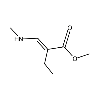 CC/C(=C\NC)C(=O)OC